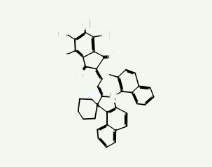 Cc1ccc2ccccc2c1N1/C(=C\C=C2C(=O)c3c(Cl)c(Cl)c(Cl)c(Cl)c3C2=O)C2(CCCCC2)c2c1ccc1ccccc21